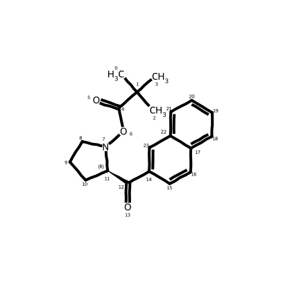 CC(C)(C)C(=O)ON1CCC[C@@H]1C(=O)c1ccc2ccccc2c1